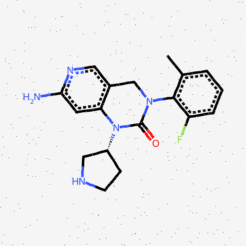 Cc1cccc(F)c1N1Cc2cnc(N)cc2N([C@@H]2CCNC2)C1=O